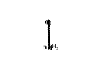 C=CC(=O)OCCCCCCCCCCCCCCCCC[SiH2]C(Br)Br